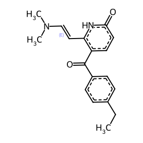 CCc1ccc(C(=O)c2ccc(=O)[nH]c2/C=C/N(C)C)cc1